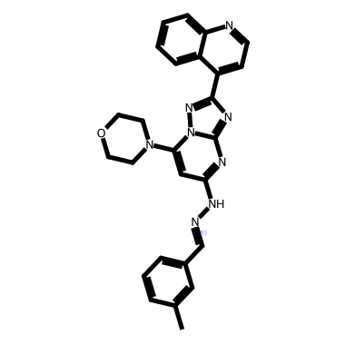 Cc1cccc(/C=N/Nc2cc(N3CCOCC3)n3nc(-c4ccnc5ccccc45)nc3n2)c1